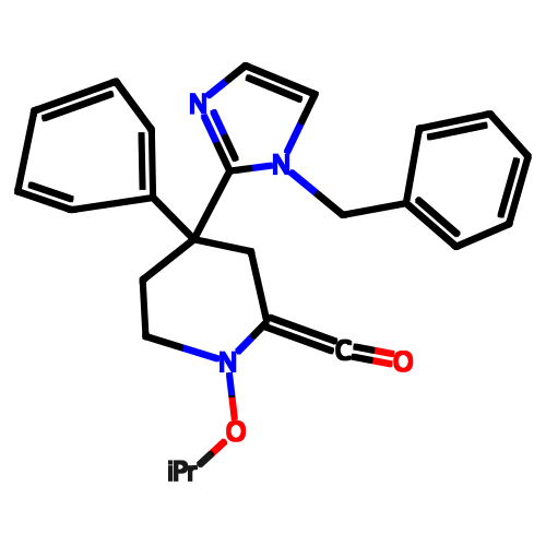 CC(C)ON1CCC(c2ccccc2)(c2nccn2Cc2ccccc2)CC1=C=O